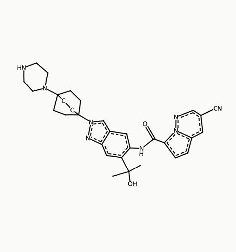 CC(C)(O)c1cc2nn(C34CCC(N5CCNCC5)(CC3)CC4)cc2cc1NC(=O)c1ccc2cc(C#N)cnn12